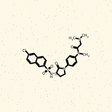 CN(C)CC(=O)N(C)c1ccc(N2CC[C@H](NS(=O)(=O)c3ccc4cc(Cl)ccc4c3)C2=O)cc1